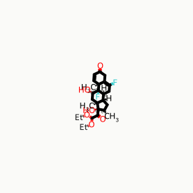 CCOC(OCC)C(=O)[C@@]1(O)[C@H](C)C[C@H]2[C@@H]3CC(F)=C4CC(=O)C=C[C@]4(C)[C@@]3(F)[C@@H](O)C[C@@]21C